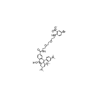 CN(C)c1ccc2c(c1)[Si](C)(C)C1=CC(N(C)C)C=CC1=C2c1cc(C(=O)NCCOCCOCCNc2ccc(Br)cc2[N+](=O)[O-])ccc1C(=O)O